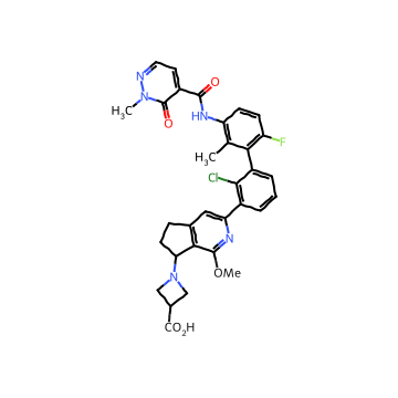 COc1nc(-c2cccc(-c3c(F)ccc(NC(=O)c4ccnn(C)c4=O)c3C)c2Cl)cc2c1C(N1CC(C(=O)O)C1)CC2